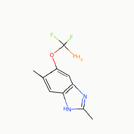 Cc1nc2cc(OC(F)(F)P)c(C)cc2[nH]1